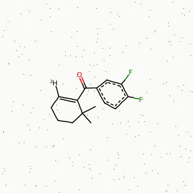 [2H]C1=C(C(=O)c2ccc(F)c(F)c2)C(C)(C)CCC1